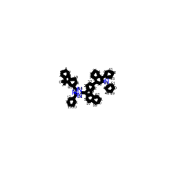 CC1(C)c2ccccc2-c2ccc(-c3nc(-c4ccccc4)nc(C4c5ccc(-c6cc7c(c8ccccc68)c6ccccc6n7-c6ccccc6)cc5-c5c4ccc4ccccc54)n3)cc21